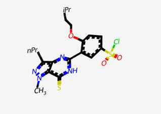 CCCc1nn(C)c2c(=S)[nH]c(-c3cc(S(=O)(=O)Cl)ccc3OCCC(C)C)nc12